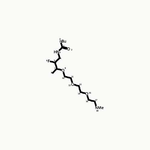 CCCCC(=O)NCC(F)C(C)OCCOCCOCCNC